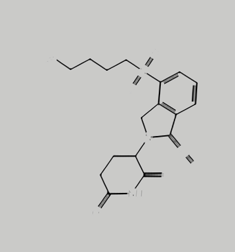 O=C=C1c2cccc(S(=O)(=O)CCCCBr)c2CN1C1CCC(=O)NC1=O